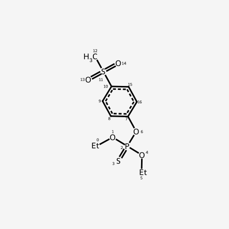 CCOP(=S)(OCC)Oc1ccc(S(C)(=O)=O)cc1